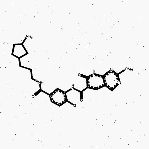 COc1ncc2cc(C(=O)Nc3cc(C(=O)NCCCC4CCC(N)C4)ccc3Cl)c(=O)[nH]c2n1